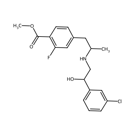 COC(=O)c1ccc(CC(C)NCC(O)c2cccc(Cl)c2)cc1F